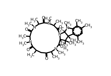 Cc1cc(C)c2c(c1C)N(C)C1(C)N3C(=O)C(C)N(C)C(=O)C(C)N(C)C(=O)C(C)N(C)C(=O)C(C)CC(=O)C(C)N(C)C(=O)C3(C)C(C)(C)C21C